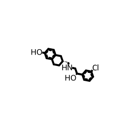 Oc1ccc2c(c1)CC[C@@H](CNC[C@H](O)c1cccc(Cl)c1)C2